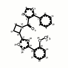 O=C(c1ncsc1-c1ccccc1)N1CCC1c1nc(-c2ccccc2OC(F)(F)F)no1